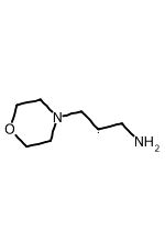 NC[CH]CN1CCOCC1